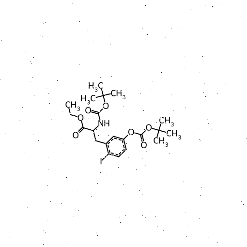 CCOC(=O)C(Cc1cc(OC(=O)OC(C)(C)C)ccc1I)NC(=O)OC(C)(C)C